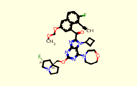 C#Cc1c(F)ccc2cc(OCOC)cc(C(=O)c3nc4nc(OC[C@@]56CCCN5C[C@H](F)C6)nc(N5CCCOCC5)c4n3C3CCC3)c12